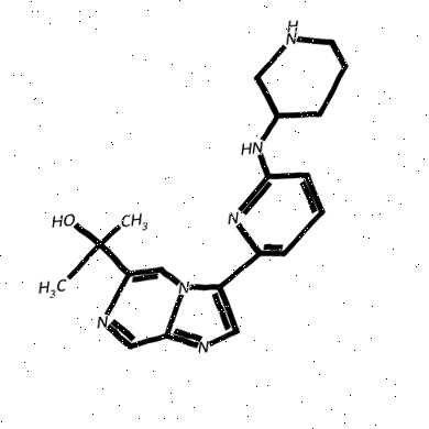 CC(C)(O)c1cn2c(-c3cccc(NC4CCCNC4)n3)cnc2cn1